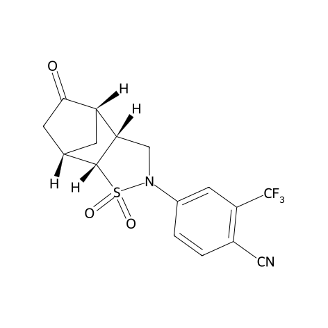 N#Cc1ccc(N2C[C@@H]3[C@@H]([C@@H]4CC(=O)[C@H]3C4)S2(=O)=O)cc1C(F)(F)F